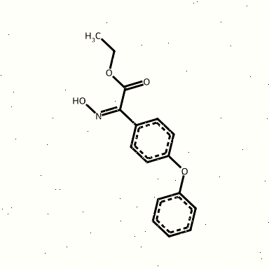 CCOC(=O)C(=NO)c1ccc(Oc2ccccc2)cc1